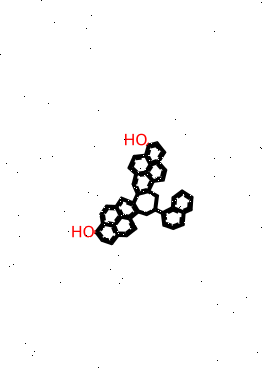 Oc1ccc2ccc3c4c(cc5ccc1c2c53)-c1cc2ccc3c(O)ccc5ccc(c1CC(c1cccc6ccccc16)C4)c2c53